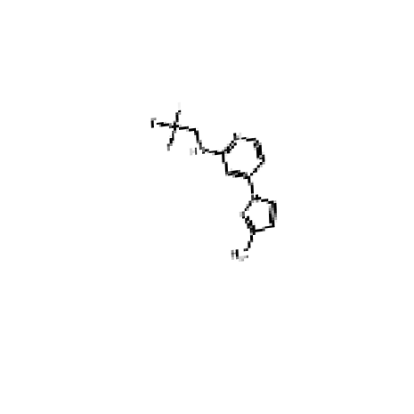 Cc1ccn(-c2ccnc(NCC(F)(F)F)c2)n1